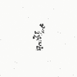 CC(=O)N1CC[C@H]2CC[C@@H](C(=O)N3CC(c4ccn(C)c(=O)c4)CC34CC4)N2C(=O)[C@@H](NC(=O)c2ccc3ccc(C(F)P(=O)(O)O)cc3c2)C1